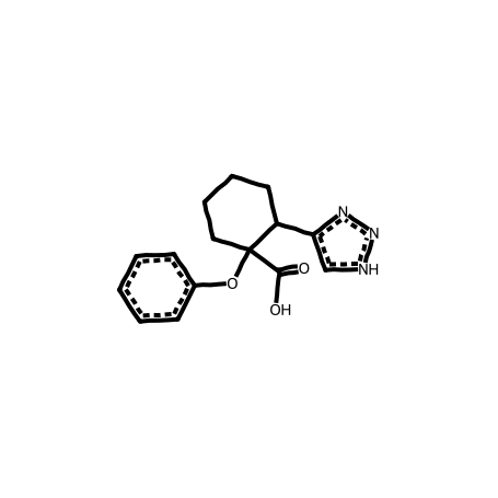 O=C(O)C1(Oc2ccccc2)CCCCC1c1c[nH]nn1